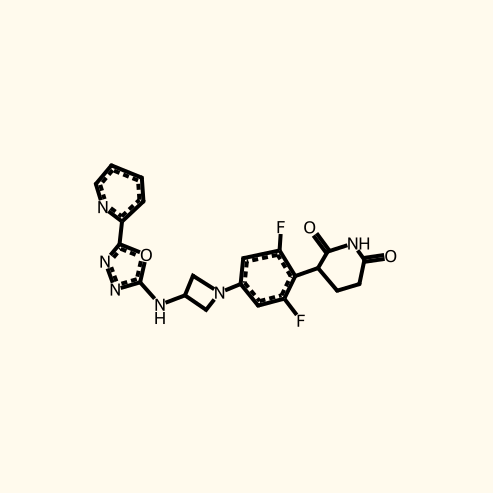 O=C1CCC(c2c(F)cc(N3CC(Nc4nnc(-c5ccccn5)o4)C3)cc2F)C(=O)N1